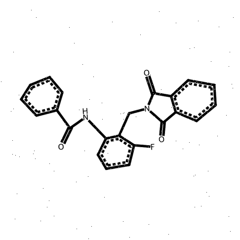 O=C(Nc1cccc(F)c1CN1C(=O)c2ccccc2C1=O)c1ccccc1